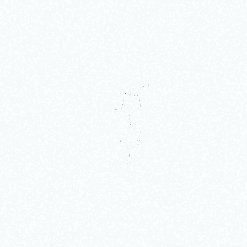 CC(C)N1CC(C(=O)O)C(c2ccc(Br)cc2)C1